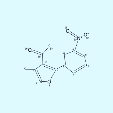 Cc1noc(-c2cccc([N+](=O)[O-])c2)c1C(=O)Cl